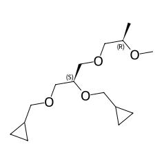 CO[C@H](C)COC[C@H](COCC1CC1)OCC1CC1